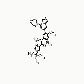 Cc1cc(P)c(N(C)C(=O)c2cn(C(C)(C)C)cn2)cc1-c1cc(N2CCOCC2)n2cncc2c1